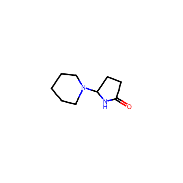 O=C1CCC(N2CCCCC2)N1